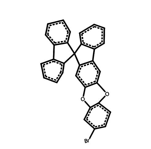 Brc1ccc2c(c1)Oc1cc3c(cc1O2)-c1ccccc1C31c2ccccc2-c2ccccc21